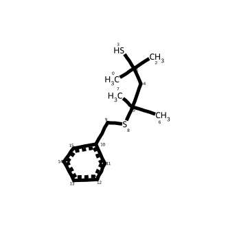 CC(C)(S)CC(C)(C)SCc1ccccc1